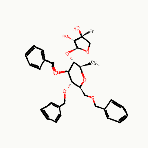 CC[C@@]1(O)CO[C@@H](O[C@H]2[C@H](OCc3ccccc3)[C@@H](OCc3ccccc3)[C@H](COCc3ccccc3)O[C@@H]2C)[C@@H]1O